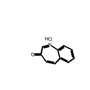 Cl.O=c1ccc2ccccc2nc1